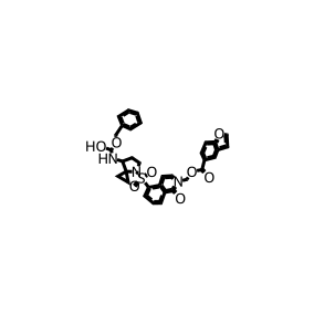 O=C(OCn1ccc2c(S(=O)(=O)N3CCC(NC(O)OCc4ccccc4)C34CC4)cccc2c1=O)c1ccc2occc2c1